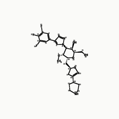 CO[C@@H]1[C@@H](n2cc(-c3cc(F)c(F)c(F)c3)nn2)[C@@H](O)[C@@H](CO)O[C@@H]1C[C@@H]1CC(C2CCNCC2)=NO1